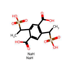 CC(c1cc(C(=O)O)c(C(C)S(=O)(=O)O)cc1C(=O)O)S(=O)(=O)O.[NaH].[NaH]